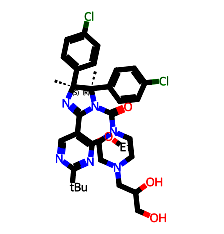 CCOc1nc(C(C)(C)C)ncc1C1=N[C@@](C)(c2ccc(Cl)cc2)[C@@](C)(c2ccc(Cl)cc2)N1C(=O)N1CCN(CC(O)CO)CC1